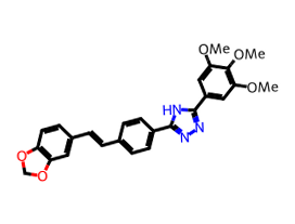 COc1cc(-c2nnc(-c3ccc(C=Cc4ccc5c(c4)OCO5)cc3)[nH]2)cc(OC)c1OC